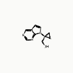 OCC1(n2ccc3cncnc32)CC1